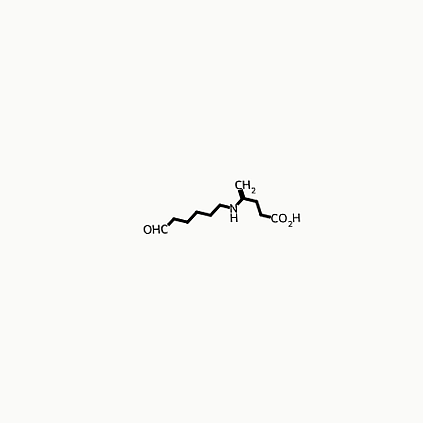 C=C(CCC(=O)O)NCCCCCC=O